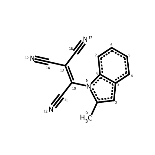 Cc1cc2ccccc2n1C(C#N)=C(C#N)C#N